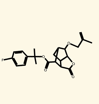 C=C(C)COC1C2CC3C1OC(=O)C3C2C(=O)OC(C)(C)c1ccc(F)cc1